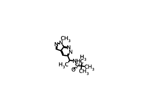 CC(N[S+]([O-])C(C)(C)C)c1cc2cnn(C)c2nn1